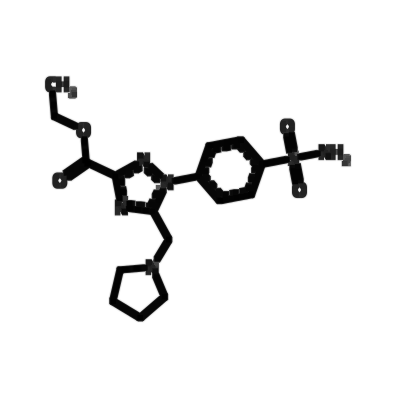 CCOC(=O)c1nc(CN2CCCC2)n(-c2ccc(S(N)(=O)=O)cc2)n1